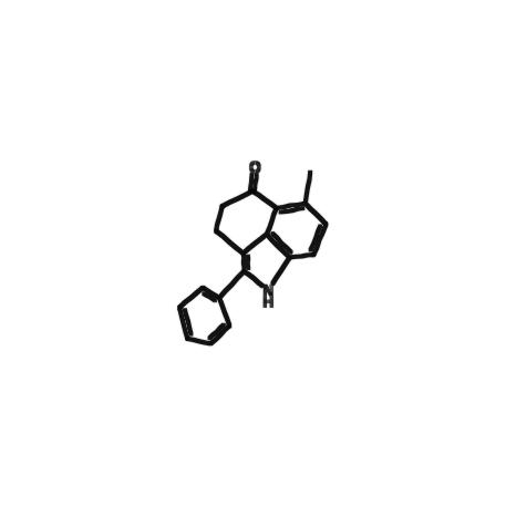 Cc1ccc2[nH]c(-c3ccccc3)c3c2c1C(=O)CC3